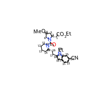 CCOC(=O)C[C@H]1C[C@@H](OC)CN1C(=O)N1CCCC[C@H]1CCc1cc2ccc(C#N)cc2n1CC